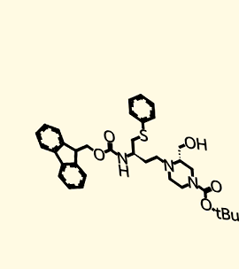 CC(C)(C)OC(=O)N1CCN(CC[C@H](CSc2ccccc2)NC(=O)OCC2c3ccccc3-c3ccccc32)[C@H](CO)C1